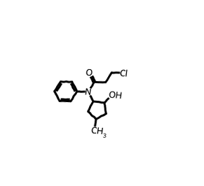 CC1CC(O)C(N(C(=O)CCCl)c2ccccc2)C1